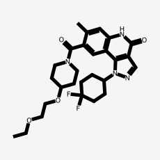 CCOCCOC1CCN(C(=O)c2cc3c(cc2C)[nH]c(=O)c2cnn(C4CCC(F)(F)CC4)c23)CC1